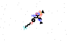 C[C@@]1(c2ccc(OCCCCCC(F)(F)F)cc2)CC(c2ccn(C3CC3)n2)=C(C(=O)NS(=O)(=O)C2CC2)C(=O)N1